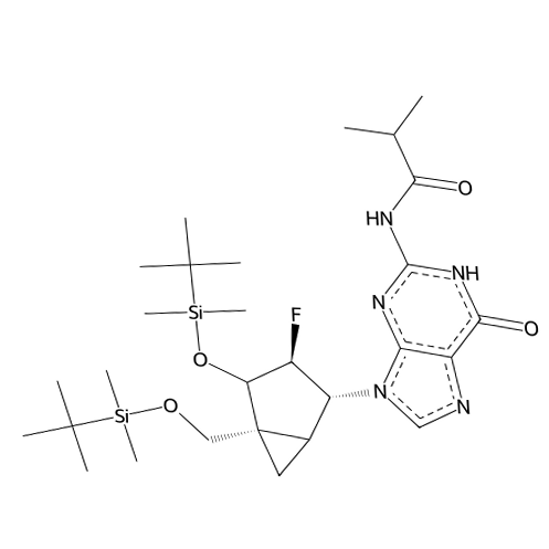 CC(C)C(=O)Nc1nc2c(ncn2[C@@H]2C3C[C@@]3(CO[Si](C)(C)C(C)(C)C)C(O[Si](C)(C)C(C)(C)C)[C@H]2F)c(=O)[nH]1